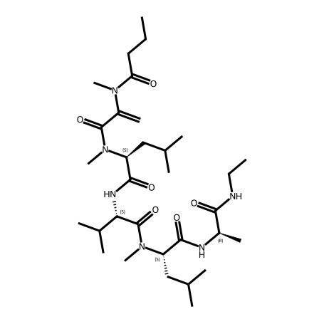 C=C(C(=O)N(C)[C@@H](CC(C)C)C(=O)N[C@H](C(=O)N(C)[C@@H](CC(C)C)C(=O)N[C@H](C)C(=O)NCC)C(C)C)N(C)C(=O)CCC